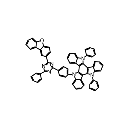 c1ccc(-c2nc(-c3ccc(-n4c5ccccc5c5c6c(c7ccccc7n6-c6ccccc6)c6c(c7ccccc7n6-c6ccccc6)c54)cc3)nc(-c3ccc4oc5ccccc5c4c3)n2)cc1